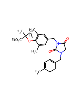 CCOC(=O)C(C)(C)Oc1c(C)cc(CN2C(=O)CN(CC3=CC=C(C(F)(F)F)CC3)C2=O)cc1C